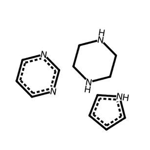 C1CNCCN1.c1cc[nH]c1.c1cncnc1